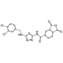 O=C(Nc1nnc(NCc2ccc(Cl)c(Cl)c2)s1)c1ccc2c(c1)C(=O)OC2=O